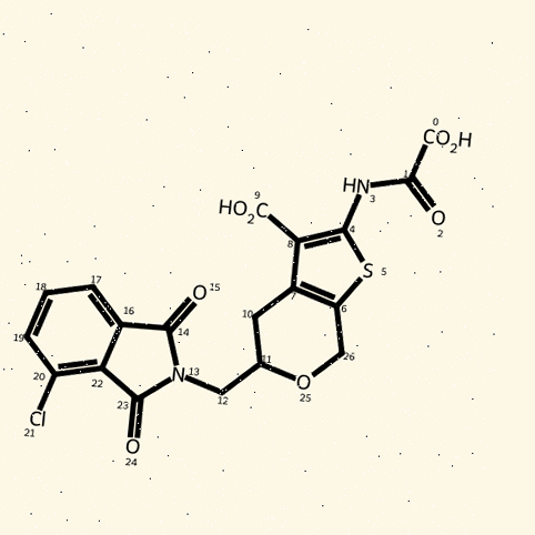 O=C(O)C(=O)Nc1sc2c(c1C(=O)O)CC(CN1C(=O)c3cccc(Cl)c3C1=O)OC2